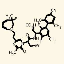 Cc1cc(-c2c(C)cc(C#N)cc2C)c(F)c(C(CC(=O)O)NC(=O)C(CC(C)C)n2cc(CCN3C=CC=CC(C)(F)C3)nc(C)c2=O)c1F